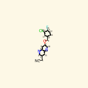 N#CCc1cnc2cc(OCc3ccc(F)c(Cl)c3)cnc2c1